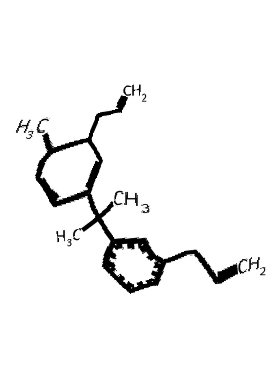 C=CCc1cccc(C(C)(C)C2=CC(CC=C)C(C)C=C2)c1